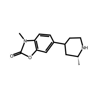 C[C@@H]1CC(c2ccc3c(c2)oc(=O)n3C)CCN1